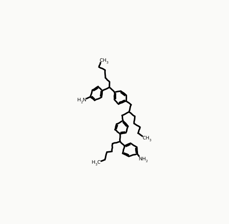 CCCCCC(Cc1ccc(C(CCCCC)c2ccc(N)cc2)cc1)Cc1ccc(C(CCCCC)c2ccc(N)cc2)cc1